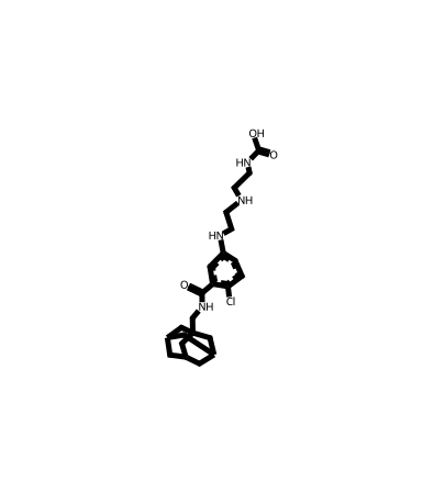 O=C(O)NCCNCCNc1ccc(Cl)c(C(=O)NCC23CC4CC(CC(C4)C2)C3)c1